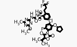 CC(C)=C1OC(=O)N(c2cc(OC3CCCC3)c(Cl)cc2F)C1=O.COc1nc(C)nc(NC(=O)NS(=O)(=O)c2ccccc2CCC(F)(F)F)n1